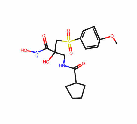 COc1ccc(S(=O)(=O)CC(O)(CNC(=O)C2CCCC2)C(=O)NO)cc1